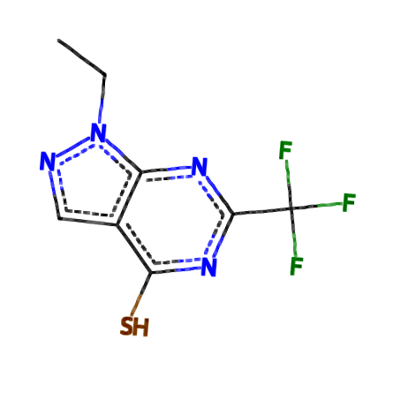 CCn1ncc2c(S)nc(C(F)(F)F)nc21